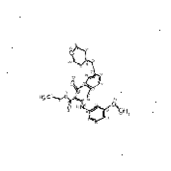 CCOC(=O)/C(=C\Nc1cccc(OC)c1)C(=O)c1cc(CN2CCOCC2)ccc1F